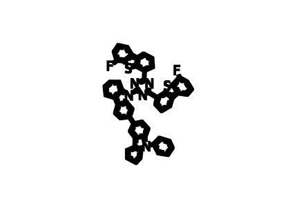 Fc1cccc2c1sc1c(-c3nc(-c4cccc5c4sc4c(F)cccc45)nc(-n4c5ccccc5c5ccc(-c6ccc7c(c6)c6ccccc6n7-c6ccccc6)cc54)n3)cccc12